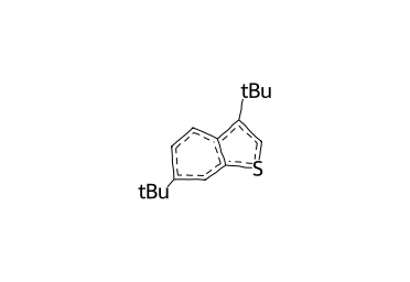 CC(C)(C)c1ccc2c(C(C)(C)C)csc2c1